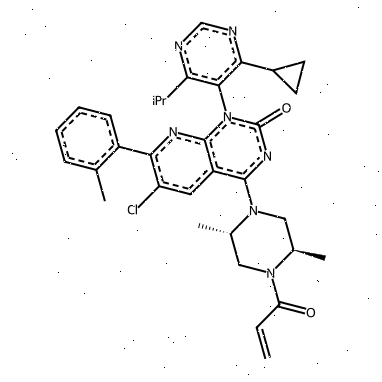 C=CC(=O)N1C[C@H](C)N(c2nc(=O)n(-c3c(C(C)C)ncnc3C3CC3)c3nc(-c4ccccc4C)c(Cl)cc23)C[C@H]1C